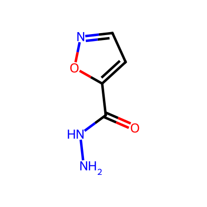 NNC(=O)c1ccno1